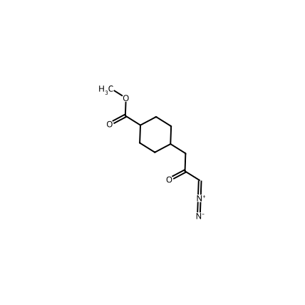 COC(=O)C1CCC(CC(=O)C=[N+]=[N-])CC1